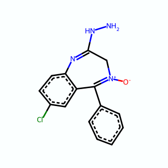 NNC1=Nc2ccc(Cl)cc2C(c2ccccc2)=[N+]([O-])C1